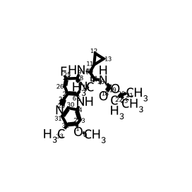 COc1cc(Nc2nc(N[C@H](C3CC3)[C@H](C)NC(=O)OC(C)(C)C)c(F)cc2C#N)ccc1C